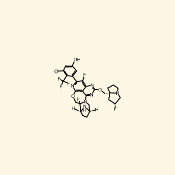 Oc1cc(Cl)c(C(F)(F)F)c(-c2nc3c4c(nc(OC[C@]56CCCN5C[C@@H](F)C6)nc4c2F)N2C[C@@H]4CC[C@@H](N4)[C@@H]2CO3)c1